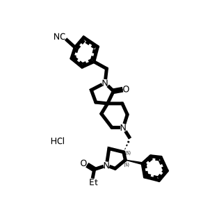 CCC(=O)N1C[C@H](CN2CCC3(CC2)CCN(Cc2ccc(C#N)cc2)C3=O)[C@@H](c2ccccc2)C1.Cl